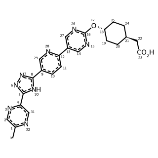 Cc1cnc(-c2nnc(-c3ccc(-c4cnc(O[C@H]5CC[C@H](CC(=O)O)CC5)nc4)nc3)[nH]2)cn1